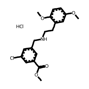 COC(=O)c1cc(Cl)cc(CNCCc2cc(OC)ccc2OC)c1.Cl